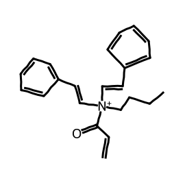 C=CC(=O)[N+](C=Cc1ccccc1)(C=Cc1ccccc1)CCCC